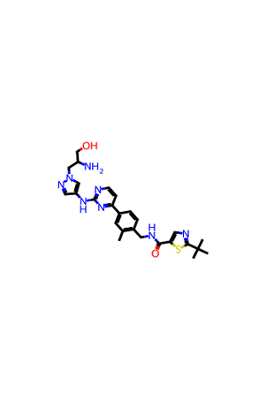 Cc1cc(-c2ccnc(Nc3cnn(CC(N)CO)c3)n2)ccc1CNC(=O)c1cnc(C(C)(C)C)s1